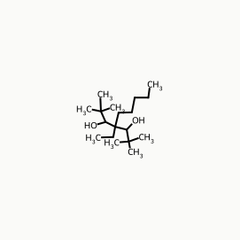 CCCCCC(CC)(C(O)C(C)(C)C)C(O)C(C)(C)C